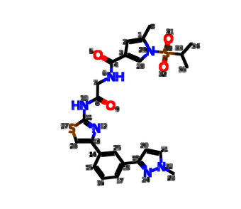 Cc1cc(C(=O)NCC(=O)Nc2nc(-c3cccc(-c4ccn(C)n4)c3)cs2)cn1S(=O)(=O)C(C)C